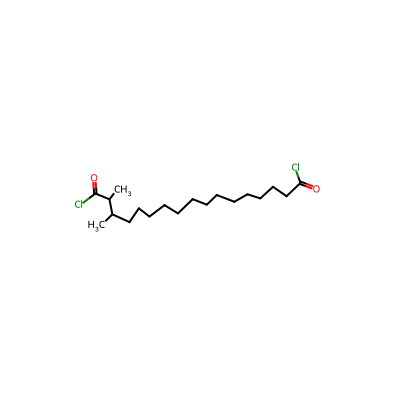 CC(CCCCCCCCCCCCCC(=O)Cl)C(C)C(=O)Cl